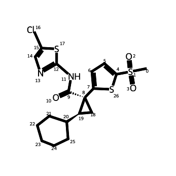 CS(=O)(=O)c1ccc([C@@]2(C(=O)Nc3ncc(Cl)s3)C[C@H]2C2CCCCC2)s1